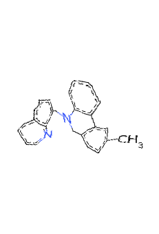 Cc1ccc2c(c1)-c1ccccc1N(c1cccc3cccnc13)C2